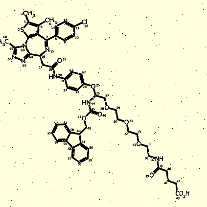 Cc1sc2c(c1C)C(c1ccc(Cl)cc1)=N[C@@H](CC(=O)Nc1ccc(OC(COCCOCCOCCNC(=O)CCCC(=O)O)NC(=O)OCC3c4ccccc4-c4ccccc43)cc1)c1nnc(C)n1-2